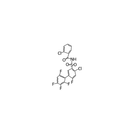 O=C(NS(=O)(=O)c1cc(-c2c(F)cc(F)c(F)c2F)c(F)cc1Cl)c1ccccc1Cl